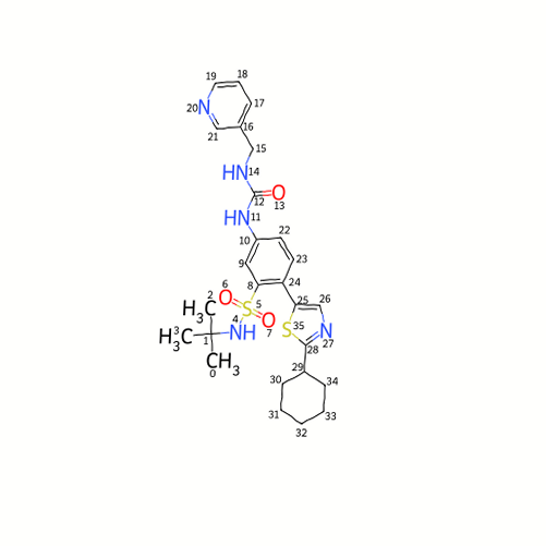 CC(C)(C)NS(=O)(=O)c1cc(NC(=O)NCc2cccnc2)ccc1-c1cnc(C2CCCCC2)s1